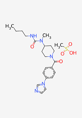 CCCCNC(=O)N(C)C1CCN(C(=O)c2ccc(-n3ccnc3)cc2)CC1.CS(=O)(=O)O